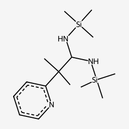 CC(C)(c1ccccn1)C(N[Si](C)(C)C)N[Si](C)(C)C